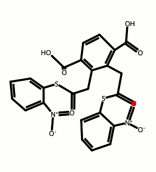 C=C(Cc1c(C(=O)O)ccc(C(=O)O)c1CC(=C)Sc1ccccc1[N+](=O)[O-])Sc1ccccc1[N+](=O)[O-]